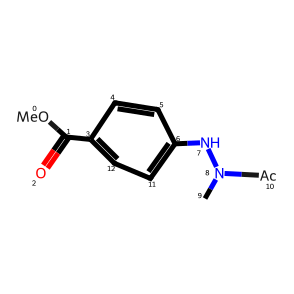 COC(=O)c1ccc(NN(C)C(C)=O)cc1